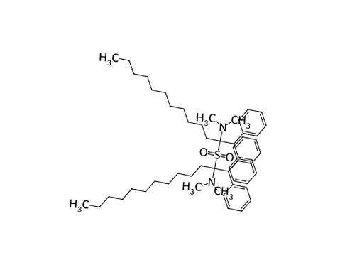 CCCCCCCCCCCC(C(c1ccccc1)c1ccccc1)(N(C)C)S(=O)(=O)C(CCCCCCCCCCC)(C(c1ccccc1)c1ccccc1)N(C)C